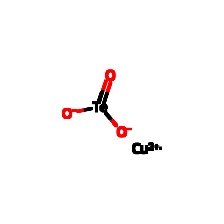 O=[Te]([O-])[O-].[Cu+2]